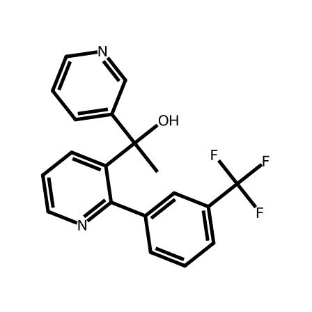 CC(O)(c1cccnc1)c1cccnc1-c1cccc(C(F)(F)F)c1